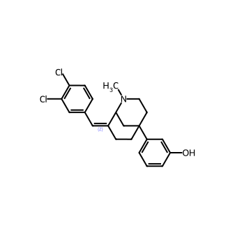 CN1CCC2(c3cccc(O)c3)CC/C(=C/c3ccc(Cl)c(Cl)c3)C1C2